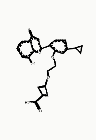 O=C(O)C1CC(OCCOc2cc(C3CC3)ccc2-c2cc(=O)c3cccc(Cl)c3o2)C1